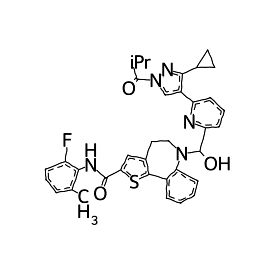 Cc1cccc(F)c1NC(=O)c1cc2c(s1)-c1ccccc1N(C(O)c1cccc(-c3cn(C(=O)C(C)C)nc3C3CC3)n1)CC2